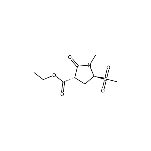 CCOC(=O)[C@H]1C[C@H](S(C)(=O)=O)N(C)C1=O